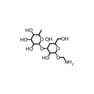 CC1O[C@@H](O[C@@H]2C(O)[C@H](OCN)OC(CO)[C@H]2O)C(O)[C@@H](O)[C@H]1O